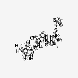 Cc1c[nH]c2c(OP(=O)(O)O)cc3c(c12)C(CCl)CN3C(=O)C12CC(C(=O)N3CC(CCl)c4c3cc(NC(=O)C(C)NC(=O)C(NC(=O)CCCCCN3C(=O)C=CC3=O)C(C)C)c3ccccc43)(C1)C2